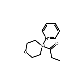 CCC(=O)[N+]1([n+]2ccccc2)CCOCC1